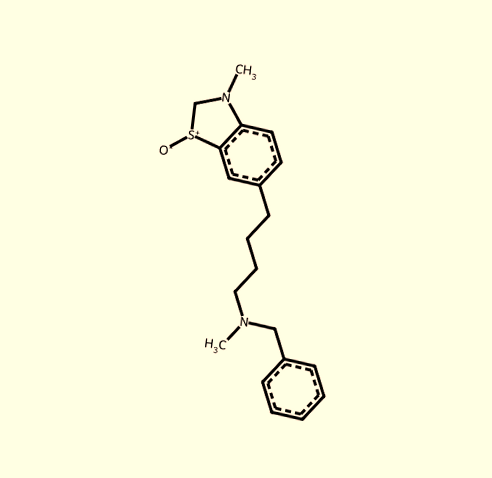 CN(CCCCc1ccc2c(c1)[S+]([O-])CN2C)Cc1ccccc1